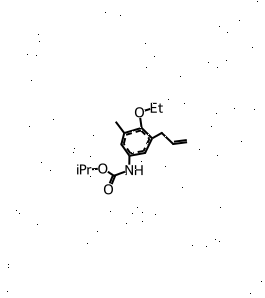 C=CCc1cc(NC(=O)OC(C)C)cc(C)c1OCC